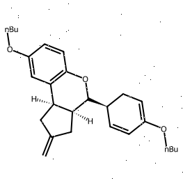 C=C1C[C@@H]2C([C@@H]3C=CC(OCCCC)=CC3)Oc3ccc(OCCCC)cc3[C@@H]2C1